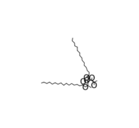 CCCCCCCCCCCCCCCC(=O)OC1=C(C)OCC(OC(=O)CCCCCCCCCCCCCCC)C1=O